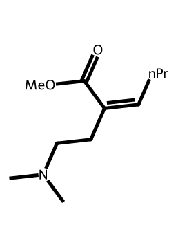 CCCC=C(CCN(C)C)C(=O)OC